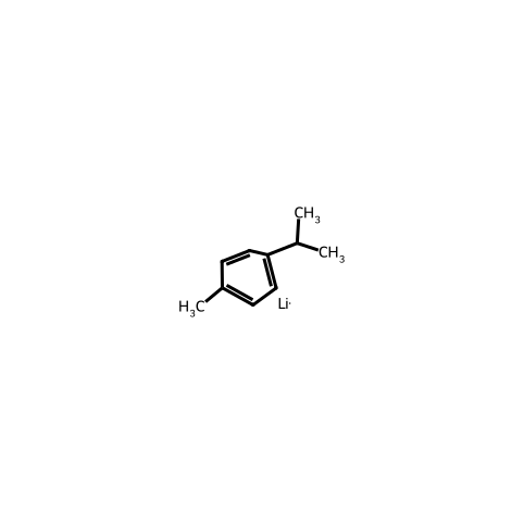 Cc1ccc(C(C)C)cc1.[Li]